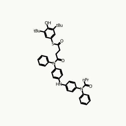 CCCC(=O)N(c1ccccc1)c1ccc(Nc2ccc(N(C(=O)CCC(=O)Sc3cc(C(C)(C)C)c(O)c(C(C)(C)C)c3)c3ccccc3)cc2)cc1